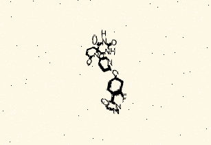 O=C1NC(=O)C2(CCCC(=O)N2c2ccc(Oc3ccc(-c4nnco4)c(F)c3)nc2)C(=O)N1